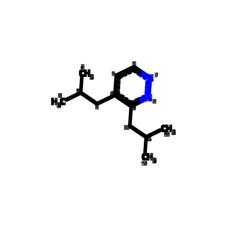 CC(C)Cc1ccnnc1CC(C)C